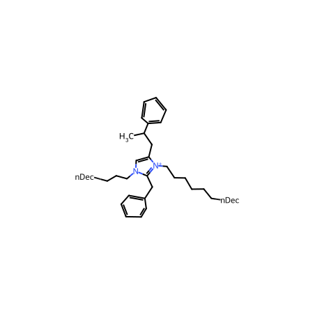 CCCCCCCCCCCCCCCC[n+]1c(CC(C)c2ccccc2)cn(CCCCCCCCCCCCC)c1Cc1ccccc1